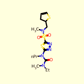 CCCN(C(=O)N(C)CC)c1nnc(S(=O)(=O)N(C)CC2CC=CS2)s1